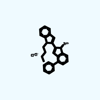 CCCCC1C(C2=Cc3c(-c4ccccc4)cccc3[CH]2[Zr+2])=Cc2ccccc21.[Cl-].[Cl-]